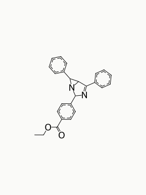 CCOC(=O)c1ccc(C2N=C(c3ccccc3)C3C(c4ccccc4)N23)cc1